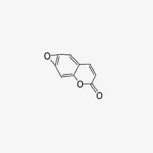 O=c1ccc2cc3c(cc2o1)O3